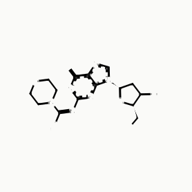 CC(=Nc1nc2c(ncn2[C@H]2CC(O)[C@@H](CO)O2)c(=O)[nH]1)N1CCOCC1